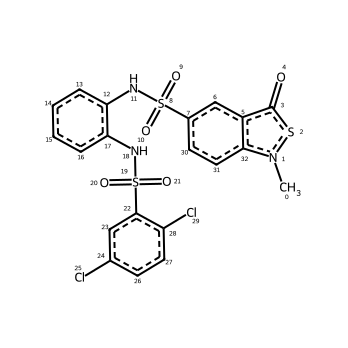 Cn1sc(=O)c2cc(S(=O)(=O)Nc3ccccc3NS(=O)(=O)c3cc(Cl)ccc3Cl)ccc21